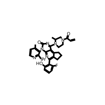 C=CC(=O)N1CCN(c2nc(=O)n(-c3c(C)ccnc3C(C)C)c3nc(-c4c(O)cccc4F)c4c(c23)CCC4)C(C)C1